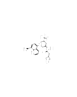 CN1CC(CC(=O)N[C@@H]2C[C@H](C(F)(F)F)CN(c3ccc(C#N)c4ncccc34)C2)C1